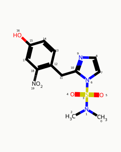 CN(C)S(=O)(=O)n1ccnc1Cc1ccc(O)cc1[N+](=O)[O-]